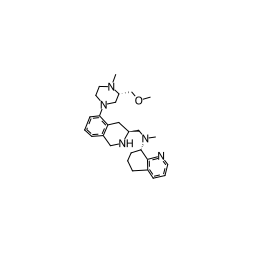 COC[C@@H]1CN(c2cccc3c2C[C@@H](CN(C)[C@H]2CCCc4cccnc42)NC3)CCN1C